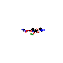 COc1cc(C(=O)N(C)c2ccc(C)cc2OCCCCCC(=O)N2CCN(C)CC2)ccc1C(=O)Nc1cccc2[nH]cnc12.Cl.Cl